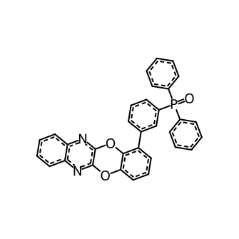 O=P(c1ccccc1)(c1ccccc1)c1cccc(-c2cccc3c2Oc2nc4ccccc4nc2O3)c1